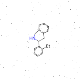 CCc1ccccc1C1Cc2ccccc2CN1